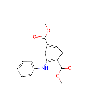 COC(=O)C1=CCC(C(=O)OC)=C(Nc2ccccc2)C1